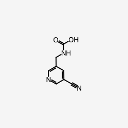 N#Cc1cncc(CNC(=O)O)c1